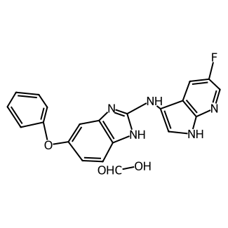 Fc1cnc2[nH]cc(Nc3nc4cc(Oc5ccccc5)ccc4[nH]3)c2c1.O=CO